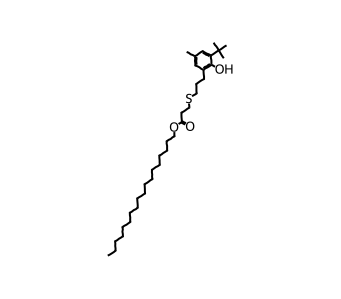 CCCCCCCCCCCCCCCCCCOC(=O)CCSCCCc1cc(C)cc(C(C)(C)C)c1O